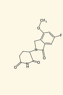 COc1cc(F)cc2c1CN(C1CCC(=O)NC1=O)C2=O